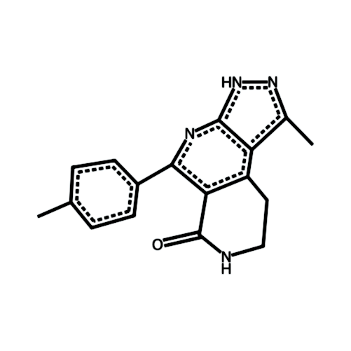 Cc1ccc(-c2nc3[nH]nc(C)c3c3c2C(=O)NCC3)cc1